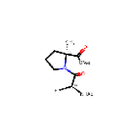 COC(=O)[C@]1(C)CCCN1C(=O)[C@@H](NC(C)=O)C(C)C